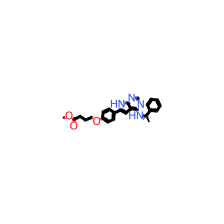 COC(=O)CCCOc1ccc(-c2cc3c(N[C@H](C)c4ccccc4)ncnc3[nH]2)cc1